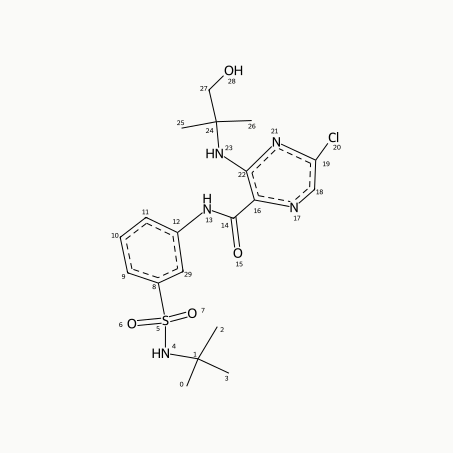 CC(C)(C)NS(=O)(=O)c1cccc(NC(=O)c2ncc(Cl)nc2NC(C)(C)CO)c1